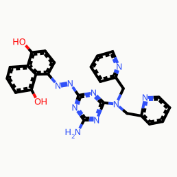 Nc1nc(/N=N/c2ccc(O)c3cccc(O)c23)nc(N(Cc2ccccn2)Cc2ccccn2)n1